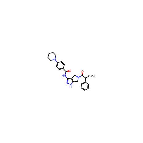 COC(C(=O)N1Cc2[nH]nc(NC(=O)c3ccc(N4CCCCC4)cc3)c2C1)c1ccccc1